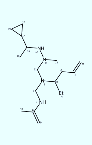 C=CCC(CC)N(CNC(=C)C)CN(C)NC(C)C1CC1